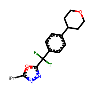 CC(C)c1nnc(C(F)(F)c2ccc(C3CCOCC3)cc2)o1